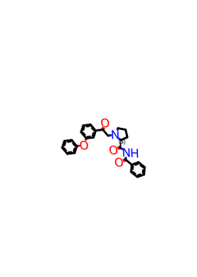 O=C(CN1CCC[C@H]1C(=O)NC(=O)c1ccccc1)c1cccc(Oc2ccccc2)c1